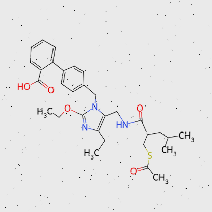 CCOc1nc(CC)c(CNC(=O)C(CSC(C)=O)CC(C)C)n1Cc1ccc(-c2ccccc2C(=O)O)cc1